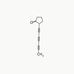 CC#CC#CC#CC1CCCC1=O